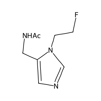 CC(=O)NCc1cncn1CCF